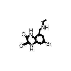 C[CH]NCc1cc(Br)cc2[nH]c(=O)c(=O)[nH]c12